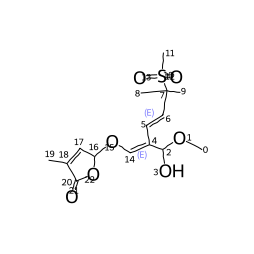 COC(O)C(/C=C/C(C)(C)S(C)(=O)=O)=C/OC1C=C(C)C(=O)O1